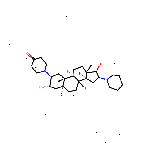 C[C@]12C[C@H](N3CCC(=O)CC3)[C@@H](O)C[C@@H]1CC[C@@H]1[C@@H]2CC[C@]2(C)[C@@H](O)[C@@H](N3CCCCC3)C[C@@H]12